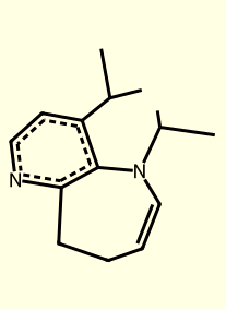 CC(C)c1ccnc2c1N(C(C)C)C=CCC2